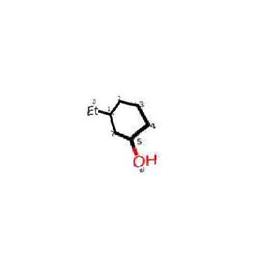 CC[C]1CCCC(O)C1